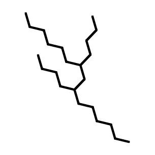 CCCCCCC(CCCC)CC(CCCC)CCCCCC